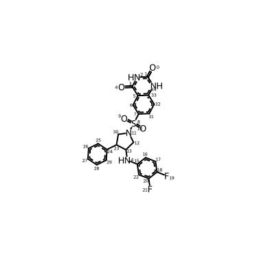 O=c1[nH]c(=O)c2cc(S(=O)(=O)N3CC(Nc4ccc(F)c(F)c4)C(c4ccccc4)C3)ccc2[nH]1